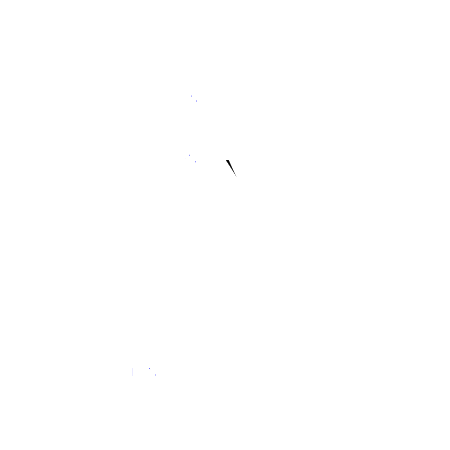 Cc1cccnc1NC[C@@H]1[C@@H](c2ccc(S(N)(=O)=O)cc2)C12CCCC2